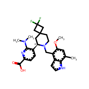 COc1cc(C)c2[nH]ccc2c1CN1CCC2(C[C@@H]1c1ccc(C(=O)O)nc1N(C)C)CC(F)(F)C2